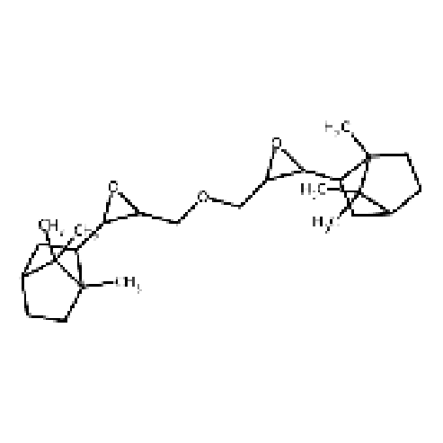 CC1(C)C2CCC1(C)C(C1OC1COCC1OC1C1CC3CCC1(C)C3(C)C)C2